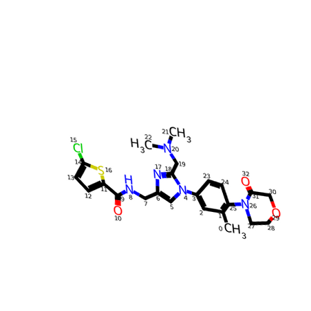 Cc1cc(-n2cc(CNC(=O)c3ccc(Cl)s3)nc2CN(C)C)ccc1N1CCOCC1=O